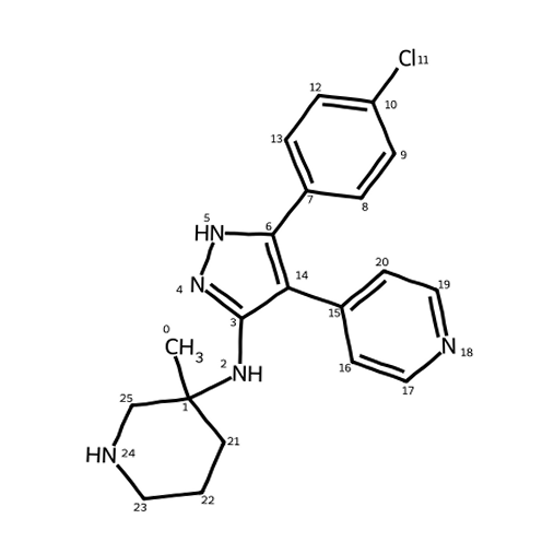 CC1(Nc2n[nH]c(-c3ccc(Cl)cc3)c2-c2ccncc2)CCCNC1